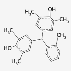 Cc1ccccc1C(c1cc(C)c(O)c(C)c1)c1cc(C)c(O)c(C)c1